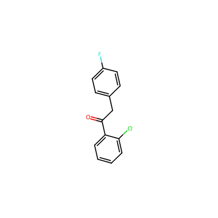 O=C(Cc1ccc(F)cc1)c1ccccc1Cl